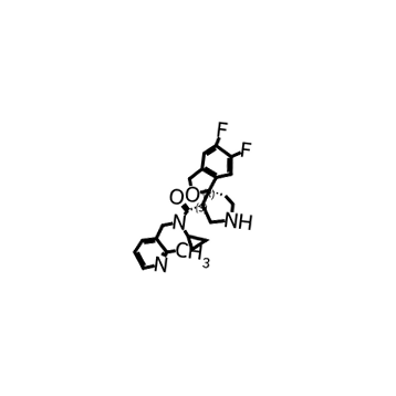 Cc1ncccc1CN(C(=O)[C@H]1CNCC[C@@]12OCc1cc(F)c(F)cc12)C1CC1